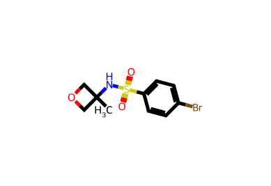 CC1(NS(=O)(=O)c2ccc(Br)cc2)COC1